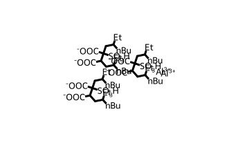 CCCCC(CC)CC(C(=O)[O-])C(CC(CC)CCCC)(C(=O)[O-])S(=O)(=O)O.CCCCC(CC)CC(C(=O)[O-])C(CC(CC)CCCC)(C(=O)[O-])S(=O)(=O)O.CCCCC(CC)CC(C(=O)[O-])C(CC(CC)CCCC)(C(=O)[O-])S(=O)(=O)O.[Al+3].[Al+3]